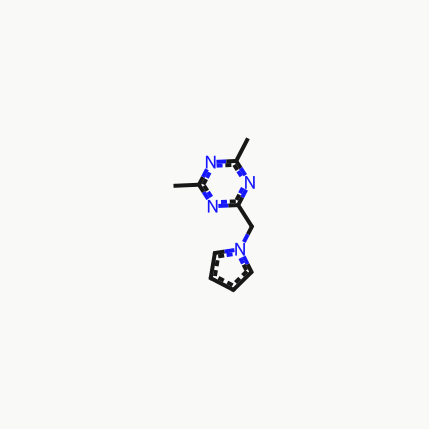 Cc1nc(C)nc(Cn2cccc2)n1